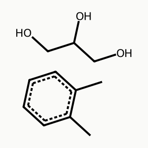 Cc1ccccc1C.OCC(O)CO